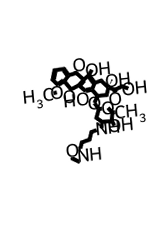 COc1cccc2c1C(=O)c1c(O)c3c(c(O)c1C2=O)C[C@@](O)(C(=O)CO)CC3OC1CC(NCCCC2NCCO2)C(O)C(C)O1